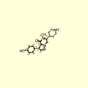 Cn1c(C2CCNCC2)cn2ncc(-c3ccc(C#N)cc3)c2c1=O